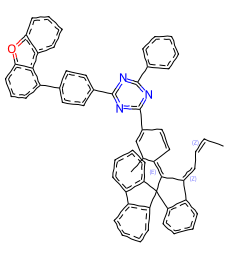 C\C=C/C=C1\C(=C2/C=CC(c3nc(-c4ccccc4)nc(-c4ccc(-c5cccc6oc7ccccc7c56)cc4)n3)=CC2C)C2(c3ccccc31)c1ccccc1-c1ccccc12